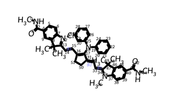 CNC(=O)c1ccc2c(c1)C(C)(C)C(/C=C/C1=C(N(c3ccccc3)c3ccccc3)C(=C/C=C3/N(C)c4ccc(C(=O)NC)cc4C3(C)C)/CC1)=[N+]2C